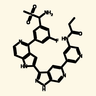 CCC(=O)Nc1cncc(-c2cc3c(-c4cc5c(-c6cc(F)cc(C(N)S(C)(=O)=O)c6)nccc5[nH]4)n[nH]c3cn2)c1